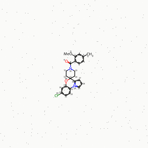 COc1cc(C)ccc1C(=O)N1CCC2(CC1)Oc1cc(Cl)ccc1-n1cccc12